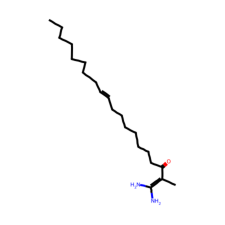 CCCCCCCCC=CCCCCCCCC(=O)C(C)=C(N)N